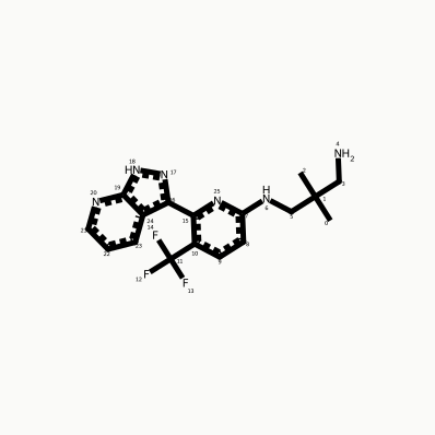 CC(C)(CN)CNc1ccc(C(F)(F)F)c(-c2n[nH]c3ncccc23)n1